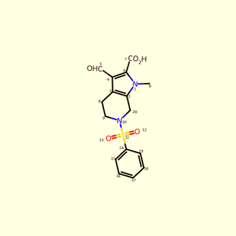 Cn1c2c(c(C=O)c1C(=O)O)CCN(S(=O)(=O)c1ccccc1)C2